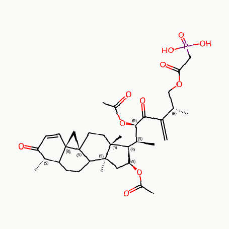 C=C(C(=O)[C@H](OC(C)=O)[C@@H](C)[C@H]1[C@@H](OC(C)=O)C[C@@]2(C)C3CCC4[C@H](C)C(=O)C=C[C@@]45C[C@@]35CC[C@]12C)[C@@H](C)COC(=O)CP(=O)(O)O